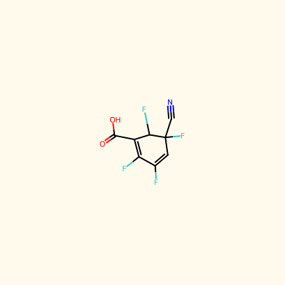 N#CC1(F)C=C(F)C(F)=C(C(=O)O)C1F